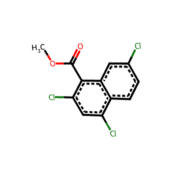 COC(=O)c1c(Cl)cc(Cl)c2ccc(Cl)cc12